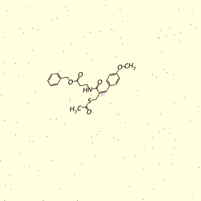 COc1ccc(/C=C(/CSC(C)=O)C(=O)NCCC(=O)OCc2ccccc2)cc1